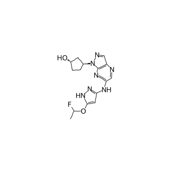 CC(F)Oc1cc(Nc2cnc3cnn([C@H]4CC[C@@H](O)C4)c3n2)n[nH]1